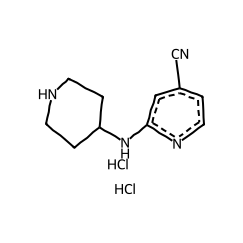 Cl.Cl.N#Cc1ccnc(NC2CCNCC2)c1